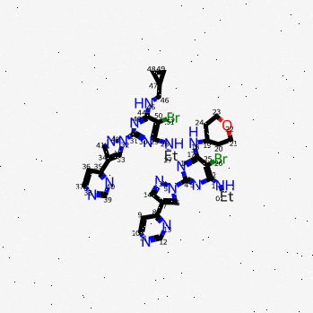 CCNc1nc(-n2cc(-c3ccncn3)cn2)nc(NC2CCOCC2)c1Br.CCNc1nc(-n2cc(-c3ccncn3)cn2)nc(NCC2CC2)c1Br